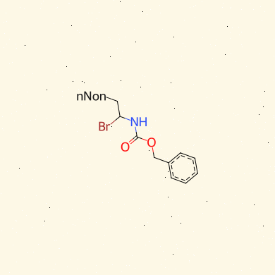 CCCCCCCCCCC(Br)NC(=O)OCc1ccccc1